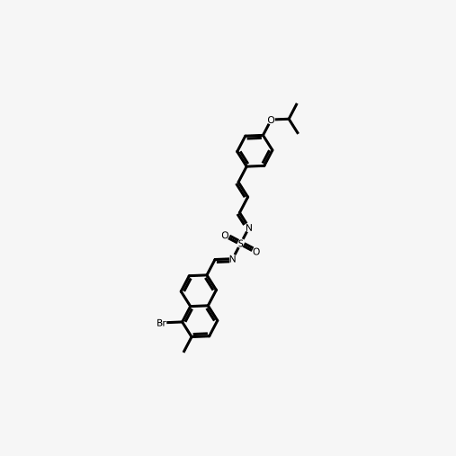 Cc1ccc2cc(C=NS(=O)(=O)N=CC=Cc3ccc(OC(C)C)cc3)ccc2c1Br